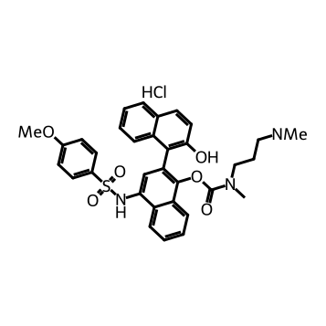 CNCCCN(C)C(=O)Oc1c(-c2c(O)ccc3ccccc23)cc(NS(=O)(=O)c2ccc(OC)cc2)c2ccccc12.Cl